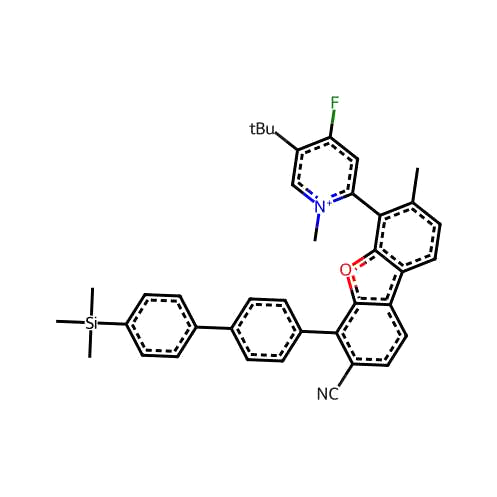 Cc1ccc2c(oc3c(-c4ccc(-c5ccc([Si](C)(C)C)cc5)cc4)c(C#N)ccc32)c1-c1cc(F)c(C(C)(C)C)c[n+]1C